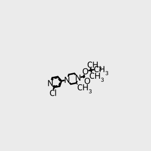 C[C@@H]1CN(c2ccnc(Cl)c2)CCN1C(=O)OC(C)(C)C